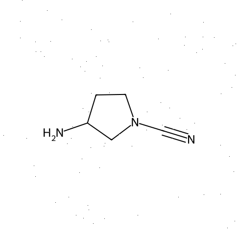 N#CN1CCC(N)C1